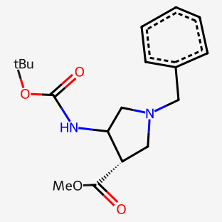 COC(=O)[C@H]1CN(Cc2ccccc2)CC1NC(=O)OC(C)(C)C